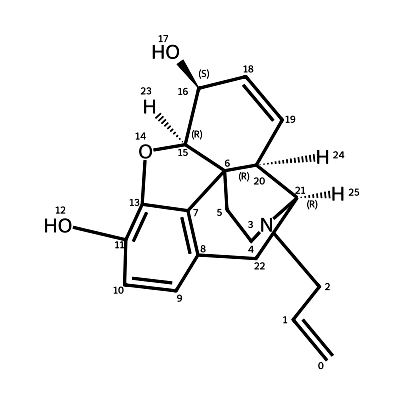 C=CCN1CCC23c4c5ccc(O)c4O[C@H]2[C@@H](O)C=C[C@H]3[C@H]1C5